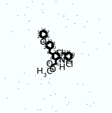 COC(=O)Cc1cc(Cc2cccc(Oc3ccccc3)c2)ccc1Nc1c(Cl)cccc1Cl